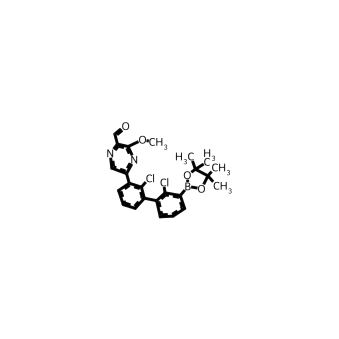 COc1nc(-c2cccc(-c3cccc(B4OC(C)(C)C(C)(C)O4)c3Cl)c2Cl)cnc1C=O